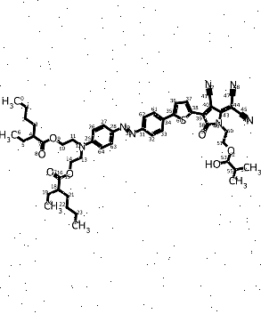 CCCCC(CC)C(=O)OCCN(CCOC(=O)C(CC)CCCC)c1ccc(/N=N/c2ccc(-c3ccc(C4=C(C#N)C(=C(C#N)C#N)N(CCOC(O)C(C)C)C4=O)s3)cc2)cc1